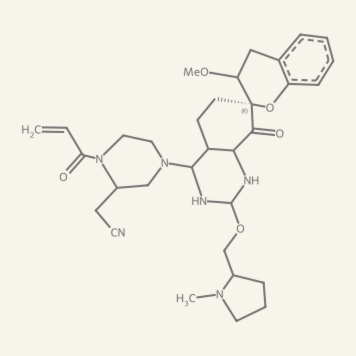 C=CC(=O)N1CCN(C2NC(OCC3CCCN3C)NC3C(=O)[C@]4(CCC32)Oc2ccccc2CC4OC)CC1CC#N